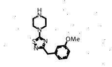 COc1cccc(Cc2nsc(N3CCNCC3)n2)c1